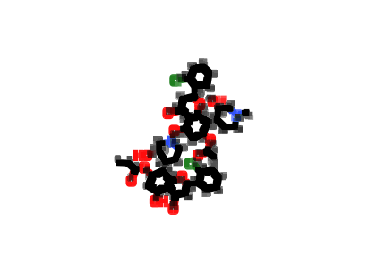 CCC(=O)Oc1cc(O)c2c(=O)cc(-c3ccccc3Cl)oc2c1[C@H]1CCN(Oc2cc(OC(C)=O)c([C@H]3CCN(C)C[C@H]3O)c3oc(-c4ccccc4Cl)cc(=O)c23)C[C@H]1O